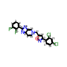 Fc1cccc(-c2nc3ccn(Cc4cc(-c5ccc(Cl)cc5Cl)no4)cc-3n2)c1F